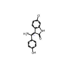 N/C(=C1/C(=O)Nc2cc(Cl)ccc21)c1ccc(O)cc1